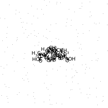 CCC[C@H](NC(=O)[C@H](CS(C)(=O)=O)NC(=O)[C@@H](NC(=O)[C@@H](NC(=O)[C@H](CCC(=O)O)NC(=O)[C@H](CCC(=O)O)NC(C)=O)C(C)C)C(C)C)C(=O)C(=O)NCC(=O)O